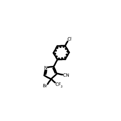 N#CC1=C(c2ccc(Cl)cc2)N=CC1(Br)C(F)(F)F